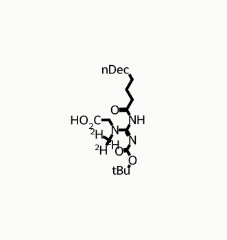 [2H]C([2H])([2H])N(CC(=O)O)/C(=N\C(=O)OC(C)(C)C)NC(=O)CCCCCCCCCCCCC